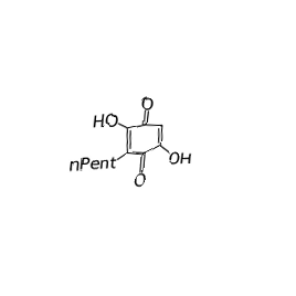 CCCCCC1=C(O)C(=O)C=C(O)C1=O